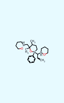 C=CC([SiH]1CCCCO1)[Si]1(c2ccccc2)CCC(C)C(C)(C[SiH]2CCCCO2)O1